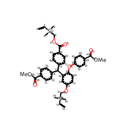 C=C[Si](C)(C)COC(=O)c1ccc(C(c2ccc(C(=O)OC)cc2)c2cc(OC[Si](C)(C)C=C)ccc2Oc2ccc(C(=O)OC)cc2)cc1